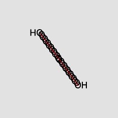 OCCOCCOCCOCCOCCOCCOCCOCCOCCOCCOCCOCCOSOCCOCCOCCOCCOCCOCCOCCOCCOCCOCCOCCOCCO